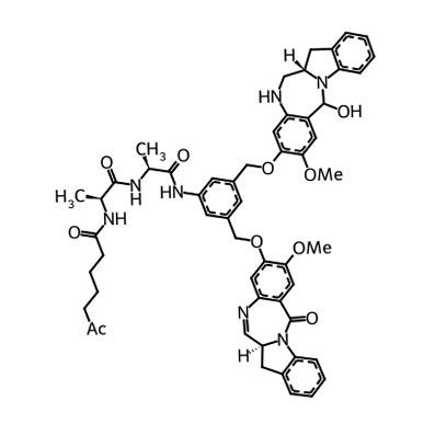 COc1cc2c(cc1OCc1cc(COc3cc4c(cc3OC)C(O)N3c5ccccc5C[C@H]3CN4)cc(NC(=O)[C@H](C)NC(=O)[C@H](C)NC(=O)CCCCC(C)=O)c1)N=C[C@@H]1Cc3ccccc3N1C2=O